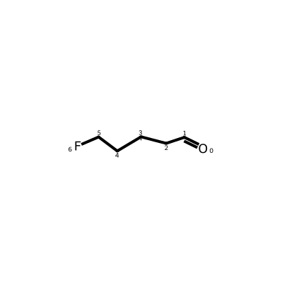 O=CC[CH]CCF